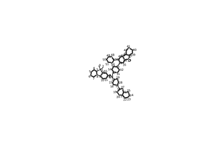 CC1(C)c2ccccc2-c2ccc(N(c3ccc(-c4ccc5ccccc5c4)cc3)c3ccc(-c4cc5sc6ccccc6c5cc4-c4ccccc4)cc3)cc21